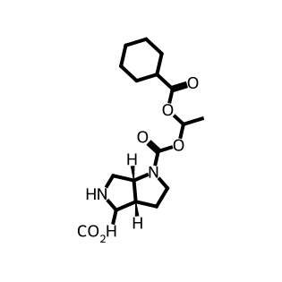 CC(OC(=O)C1CCCCC1)OC(=O)N1CC[C@@H]2C(C(=O)O)NC[C@@H]21